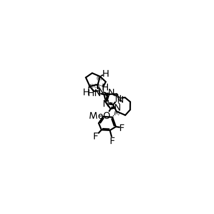 COc1cc(N2C[C@H]3CC[C@@H](C2)[C@@H]3Nc2nc3n(n2)CCCC[C@@H]3c2ccc(F)c(F)c2F)cnn1